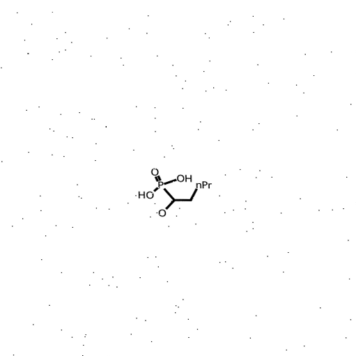 CCCCC([O])P(=O)(O)O